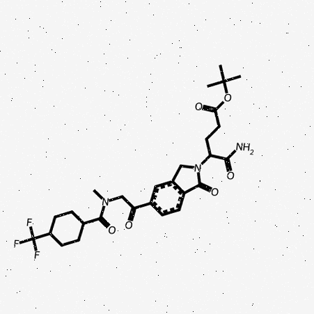 CN(CC(=O)c1ccc2c(c1)CN(C(CCC(=O)OC(C)(C)C)C(N)=O)C2=O)C(=O)C1CCC(C(F)(F)F)CC1